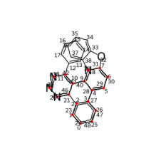 c1ccc(-c2cccnc2-c2c(-c3ccccc3)nnnc2-c2ccccc2-c2ccc3oc4ccccc4c3c2-c2ccccc2)cc1